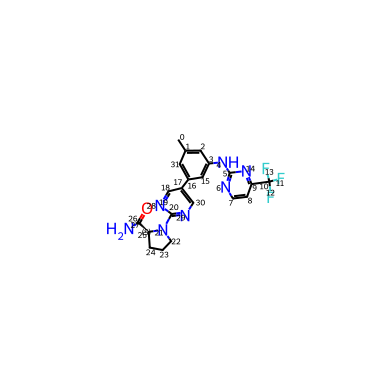 Cc1cc(Nc2nccc(C(F)(F)F)n2)cc(-c2cnc(N3CCC[C@H]3C(N)=O)nc2)c1